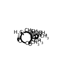 CO[C@]1(C)C[C@@H](C)CN(C)CCC2(CCCOC(=O)C(C)C(=O)[C@H](C)[C@H]1O[C@@H]1O[C@H](C)C[C@H](N(C)C)[C@H]1O)OCCO2